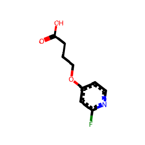 O=C(O)CCCOc1ccnc(F)c1